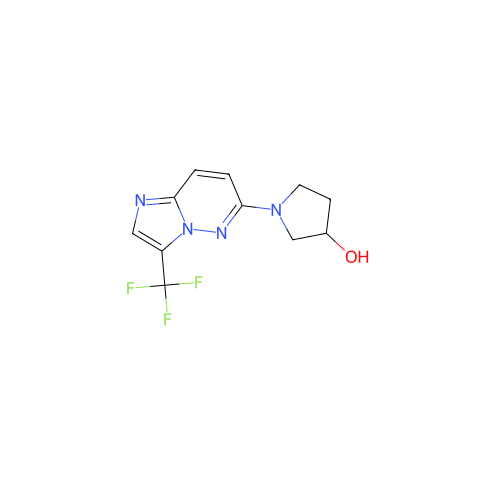 OC1CCN(c2ccc3ncc(C(F)(F)F)n3n2)C1